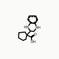 O=C(O)C1(C2CNc3ccccc3N2)CCCCC1